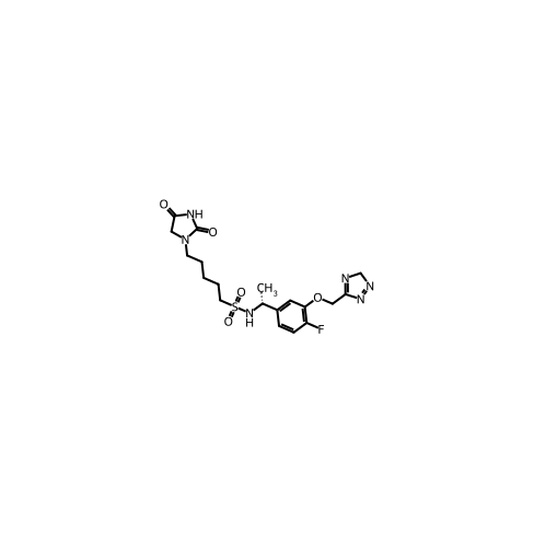 C[C@@H](NS(=O)(=O)CCCCCN1CC(=O)NC1=O)c1ccc(F)c(OCC2=NCN=N2)c1